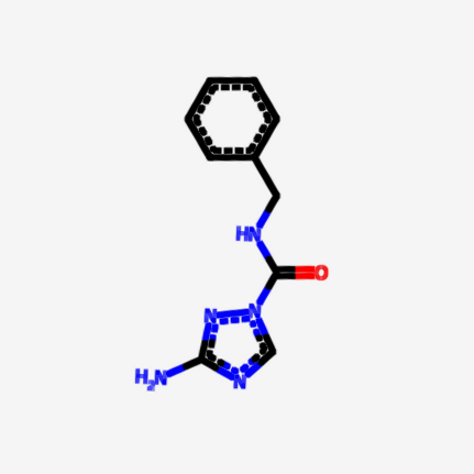 Nc1ncn(C(=O)NCc2ccccc2)n1